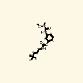 CON(C)C(=O)Nc1cccc(OC(=O)NCC=CC(C)(C)C)c1